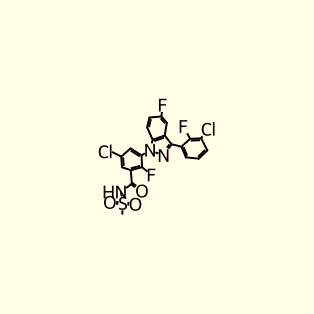 CS(=O)(=O)NC(=O)c1cc(Cl)cc(-n2nc(-c3cccc(Cl)c3F)c3cc(F)ccc32)c1F